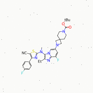 CCc1nc2c(F)cc(N3CC4(CCN(C(=O)OC(C)(C)C)CC4)C3)cn2c1N(C)c1nc(-c2ccc(F)cc2)c(C#N)s1